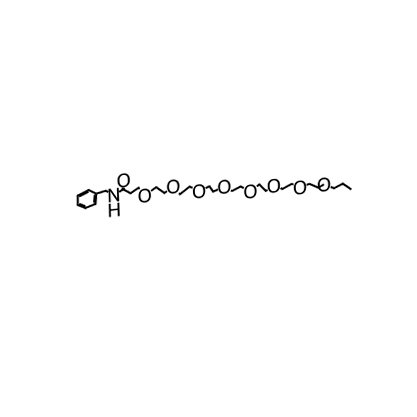 CCCOCCOCCOCCOCCOCCOCCOCCOCCC(=O)NCc1ccccc1